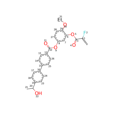 C=C(F)C(=O)Oc1cc(OC(=O)c2ccc(-c3ccc(C(C)O)cc3)cc2)ccc1OCC